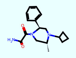 C[C@@H]1CN(C(=O)C(N)=O)[C@@H](c2ccccc2)CN1C1CCC1